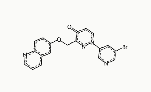 O=c1ccn(-c2cncc(Br)c2)nc1COc1ccc2ncccc2c1